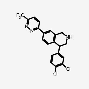 FC(F)(F)c1ccc(-c2ccc3c(c2)CNCC3c2ccc(Cl)c(Cl)c2)nn1